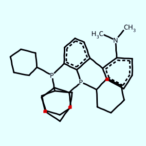 CN(C)c1ccccc1-c1cccc(P(C2CCCCC2)C2CCCCC2)c1P(C1CCCCC1)C1CCCCC1